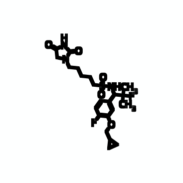 CC(C)(F)C(NS(=O)(=O)CCCCCN1CC(=O)NC1=O)c1ccc(F)c(OCC2CC2)c1